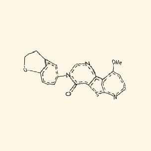 COc1ccnc2sc3c(=O)n(-c4ccc5c(c4)CCO5)cnc3c12